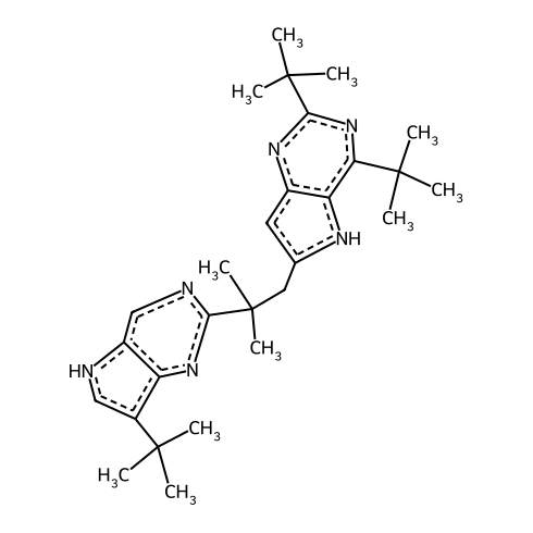 CC(C)(C)c1nc(C(C)(C)C)c2[nH]c(CC(C)(C)c3ncc4[nH]cc(C(C)(C)C)c4n3)cc2n1